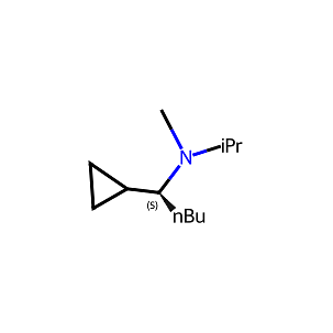 CCCC[C@@H](C1CC1)N(C)C(C)C